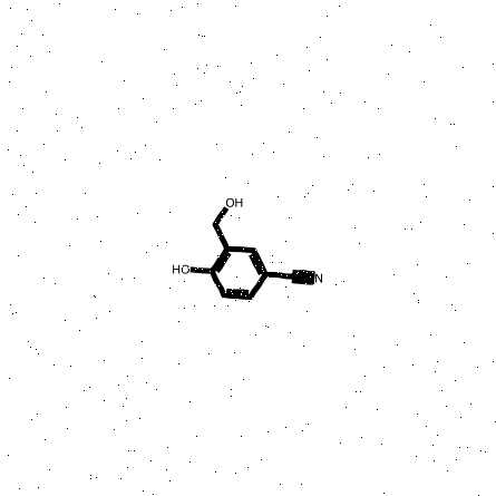 N#Cc1ccc(O)c(CO)c1